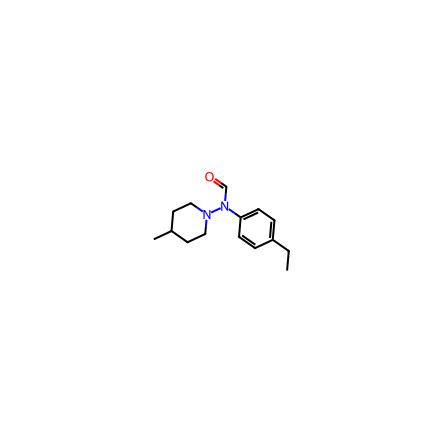 CCc1ccc(N(C=O)N2CCC(C)CC2)cc1